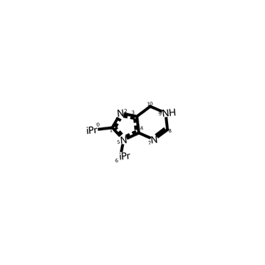 CC(C)c1nc2c(n1C(C)C)N=CNC2